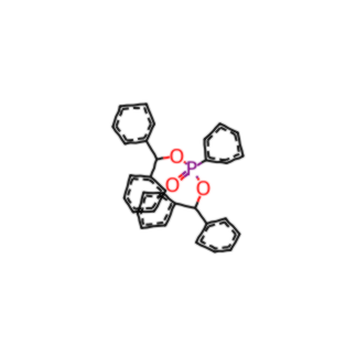 O=P(OC(c1ccccc1)c1ccccc1)(OC(c1ccccc1)c1ccccc1)c1ccccc1